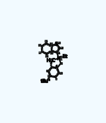 CC[N+](C)(Cc1ccc(C(C)(C)C)cc1)c1csc2ccccc12